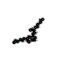 CC1(C)c2ccccc2-c2ccc(-c3ccc4c(c3)C(C)(C)c3cc(-c5cc6c(c7c5oc5ccccc57)-c5ccc(N(c7ccc8c(c7)C(C)(C)c7cc(-c9ccc%10c(c9)C(C)(C)c9cc(-c%11ccc%12c(c%11)C(C)(C)c%11ccccc%11-%12)ccc9-%10)c9oc%10ccccc%10c9c7-8)c7cccc8c7-c7ccccc7C8(C)C)cc5C6(C)C)ccc3-4)cc21